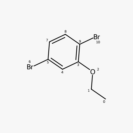 CCOc1cc(Br)ccc1Br